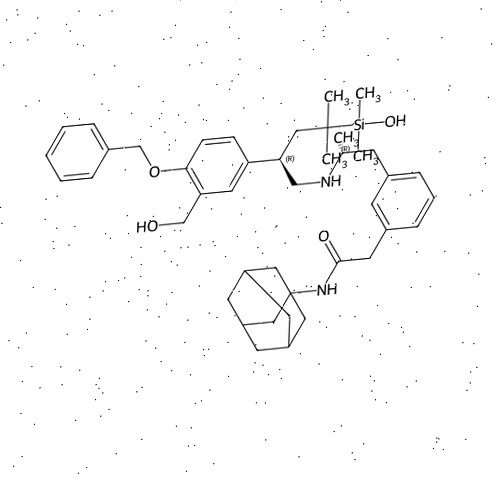 C[C@H](Cc1cccc(CC(=O)NC23CC4CC(CC(C4)C2)C3)c1)NC[C@H](CC(C)(C)[Si](C)(C)O)c1ccc(OCc2ccccc2)c(CO)c1